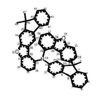 CC1(C)c2ccccc2-c2ccc(N(c3cccc4oc5ccccc5c34)c3cccc4oc5cc6c(cc5c34)-c3ccccc3C6(C)C)cc21